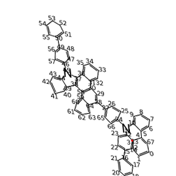 C1=CCCC(c2ccccc2N(c2ccc(-c3ccccc3)cc2)c2ccc(-c3cc4c5ccccc5c5c(c6ccccc6n5-c5ccc(C6=CCCC=C6)cc5)c4c4ccccc34)cc2)=C1